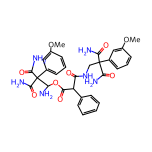 COc1cccc(C(CNC(=O)C(C(=O)OC(N)C(C(N)=O)(C(N)=O)c2cccc(OC)c2)c2ccccc2)(C(N)=O)C(N)=O)c1